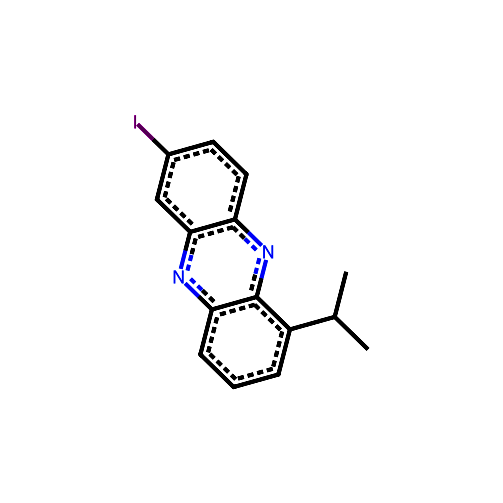 CC(C)c1cccc2nc3cc(I)ccc3nc12